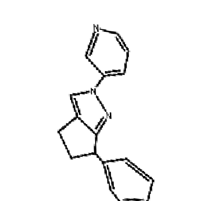 c1ccc(C2CCc3cn(-c4cccnc4)nc32)cc1